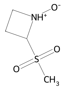 CS(=O)(=O)C1CC[NH+]1[O-]